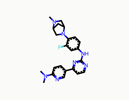 CN(C)c1ccc(-c2ccnc(Nc3ccc(N4CC5CC4CN5C)c(F)c3)n2)cn1